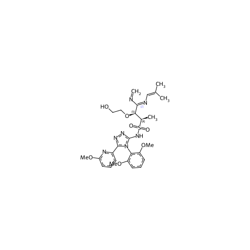 C=N/C(=N\C=C(C)C)[C@H](OCCO)[C@@H](C)S(=O)(=O)Nc1nnc(-c2cccc(OC)n2)n1-c1c(OC)cccc1OC